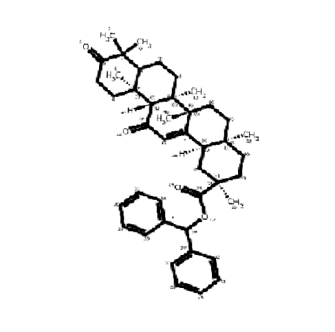 CC1(C)C(=O)CC[C@@]2(C)C1CC[C@]1(C)[C@@H]2C(=O)C=C2[C@@H]3C[C@](C)(C(=O)OC(c4ccccc4)c4ccccc4)CC[C@]3(C)CC[C@]21C